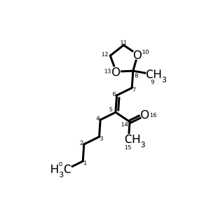 CCCCCC(=CCC1(C)OCCO1)C(C)=O